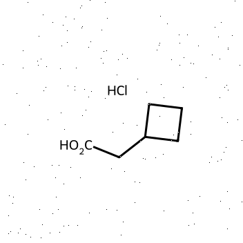 Cl.O=C(O)CC1CCC1